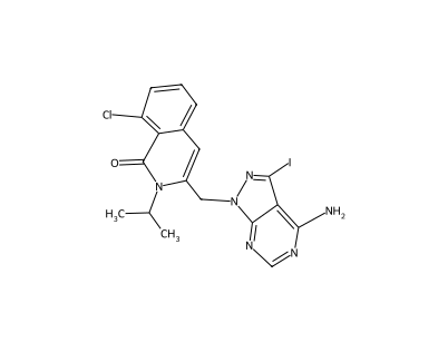 CC(C)n1c(Cn2nc(I)c3c(N)ncnc32)cc2cccc(Cl)c2c1=O